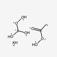 CC(=O)OO.OOB(O)O.[KH]